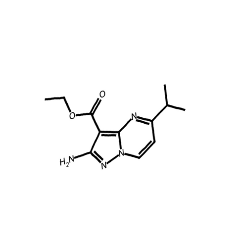 CCOC(=O)c1c(N)nn2ccc(C(C)C)nc12